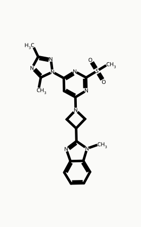 Cc1nc(C)n(-c2cc(N3CC(c4nc5ccccc5n4C)C3)nc(S(C)(=O)=O)n2)n1